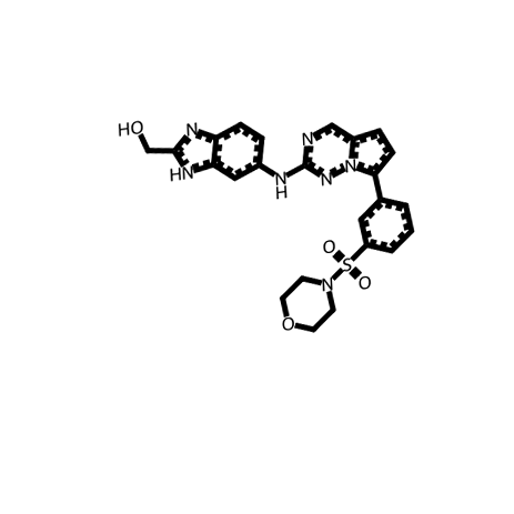 O=S(=O)(c1cccc(-c2ccc3cnc(Nc4ccc5nc(CO)[nH]c5c4)nn23)c1)N1CCOCC1